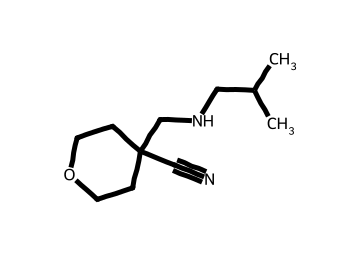 CC(C)CNCC1(C#N)CCOCC1